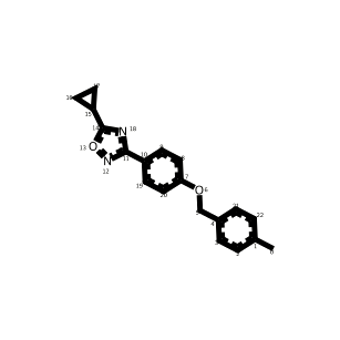 Cc1ccc(COc2ccc(-c3noc(C4CC4)n3)cc2)cc1